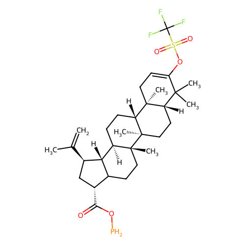 C=C(C)[C@@H]1C[C@@H](C(=O)OP)C2CC[C@]3(C)[C@H](CC[C@@H]4[C@@]5(C)CC=C(OS(=O)(=O)C(F)(F)F)C(C)(C)[C@@H]5CC[C@]43C)[C@H]21